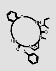 CCC(C)[C@@H]1NCCOc2ccccc2CCCNC(=O)[C@@H](Cc2ccccc2)N2CCC(C2=O)N(C)C1=O